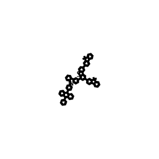 CC1(C)c2ccccc2-c2ccc(-c3ccc4sc5c(-c6ccc7c(c6)c6ccccc6n7-c6ccc(-c7c8ccccc8c(-c8ccccc8)c8ccccc78)cc6)cc(-c6ccc7c(c6)C(C)(C)c6ccccc6-7)cc5c4c3)cc21